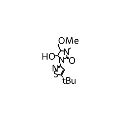 COCC1C(O)N(c2cc(C(C)(C)C)sn2)C(=O)N1C